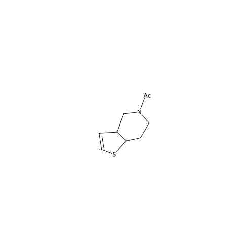 CC(=O)N1CCC2S[C]=CC2C1